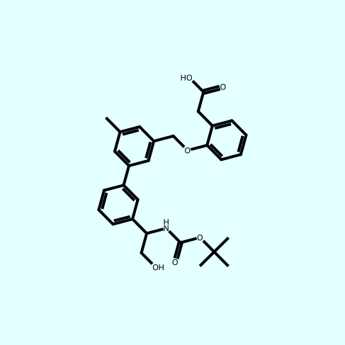 Cc1cc(COc2ccccc2CC(=O)O)cc(-c2cccc(C(CO)NC(=O)OC(C)(C)C)c2)c1